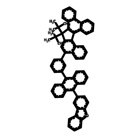 CC(C)(C)C1(C(C)(C)C)c2cc(-c3cccc(-c4c5ccccc5c(-c5ccc6oc7ccccc7c6c5)c5ccccc45)c3)c3ccccc3c2-c2c1c1ccccc1c1ccccc21